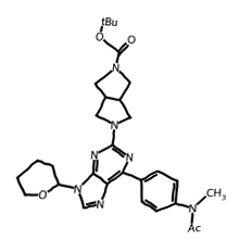 CC(=O)N(C)c1ccc(-c2nc(N3CC4CN(C(=O)OC(C)(C)C)CC4C3)nc3c2ncn3C2CCCCO2)cc1